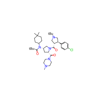 CN1CCN(C(=O)[C@@H]2C[C@H](N(C(=O)C(C)(C)C)C3CCC(C)(C)CC3)CN2C(=O)[C@@H]2CN(C(C)(C)C)C[C@H]2c2ccc(Cl)cc2)CC1